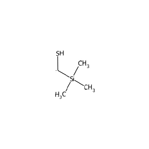 C[Si](C)(C)[CH]S